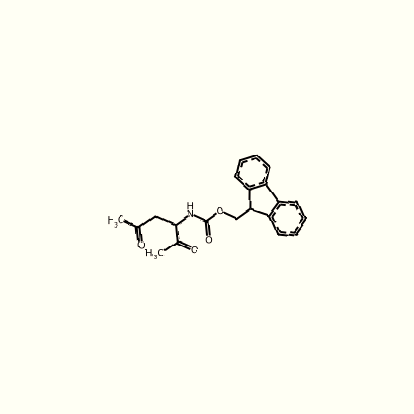 CC(=O)CC(NC(=O)OCC1c2ccccc2-c2ccccc21)C(C)=O